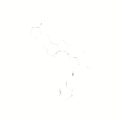 Cc1cccc(Cl)c1SC[C@H]1O[C@@H](n2cnc3c(N[C@@H]4CCC[C@H]4O)ncnc32)[C@H](O)[C@@H]1O